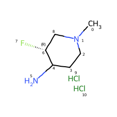 CN1CCC(N)[C@H](F)C1.Cl.Cl